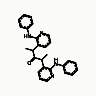 CC(C(=O)C(C)c1cccnc1Nc1ccccc1)c1cccnc1Nc1ccccc1